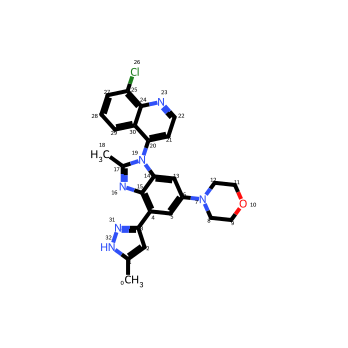 Cc1cc(-c2cc(N3CCOCC3)cc3c2nc(C)n3-c2ccnc3c(Cl)cccc23)n[nH]1